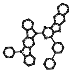 c1ccc(-c2cccc(-c3nc(-n4c5ccccc5c5cc6c(cc54)c4ccccc4n6-c4ccccc4)nc4c3sc3cc5ccccc5cc34)c2)cc1